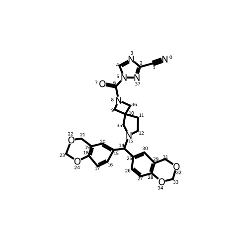 N#Cc1ncn(C(=O)N2CC3(CCN(C(c4ccc5c(c4)COCO5)c4ccc5c(c4)COCO5)C3)C2)n1